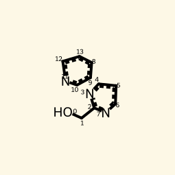 OCc1ncccn1.c1ccncc1